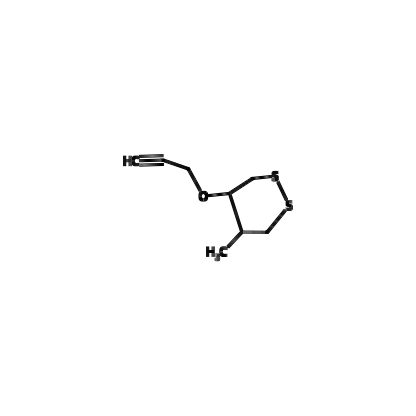 C#CCOC1CSSCC1C